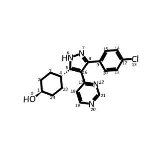 O[C@H]1CC[C@H](c2[nH]nc(-c3ccc(Cl)cc3)c2-c2ccncn2)CC1